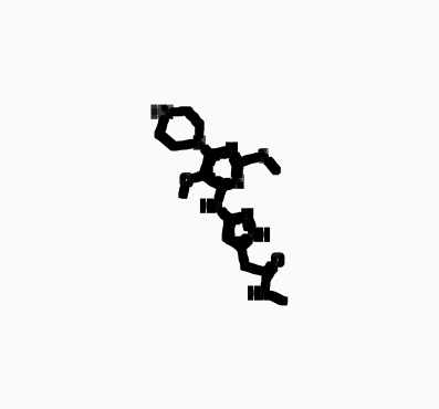 CNC(=O)Cc1cc(Nc2nc(SC)nc(N3CCNCC3)c2OC)n[nH]1